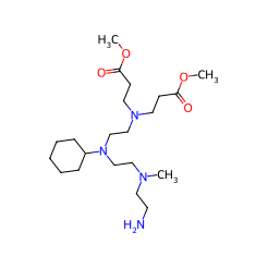 COC(=O)CCN(CCC(=O)OC)CCN(CCN(C)CCN)C1CCCCC1